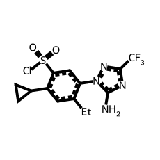 CCc1cc(C2CC2)c(S(=O)(=O)Cl)cc1-n1nc(C(F)(F)F)nc1N